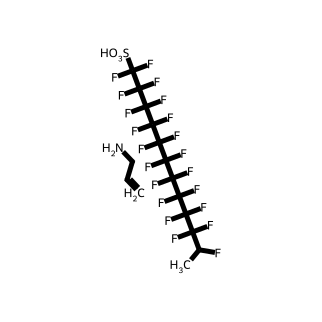 C=CCN.CC(F)C(F)(F)C(F)(F)C(F)(F)C(F)(F)C(F)(F)C(F)(F)C(F)(F)C(F)(F)C(F)(F)C(F)(F)S(=O)(=O)O